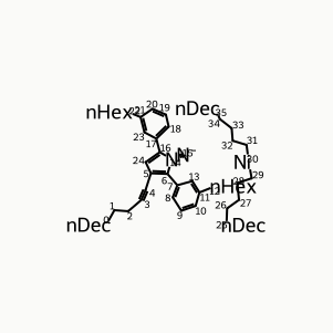 CCCCCCCCCCCCC#CC1=C(c2cccc(CCCCCC)c2)[N+](=[N-])C(c2cccc(CCCCCC)c2)=C1.CCCCCCCCCCCCC[CH2][Ni][CH2]CCCCCCCCCCCCC